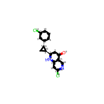 O=c1cc([C@H]2C[C@@H]2c2cccc(Cl)c2)[nH]c2cc(Cl)ncc12